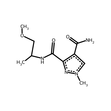 COCC(C)NC(=O)c1nn(C)cc1C(N)=O